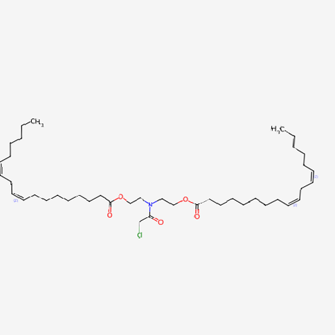 CCCCC/C=C\C/C=C\CCCCCCCC(=O)OCCN(CCOC(=O)CCCCCCC/C=C\C/C=C\CCCCC)C(=O)CCl